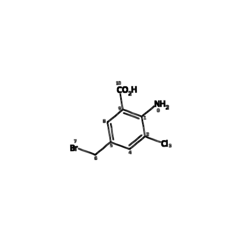 Nc1c(Cl)cc(CBr)cc1C(=O)O